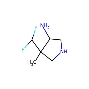 CC1(C(F)F)CNCC1N